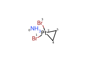 N.[Br][Pt]1([Br])[CH2][CH2]1